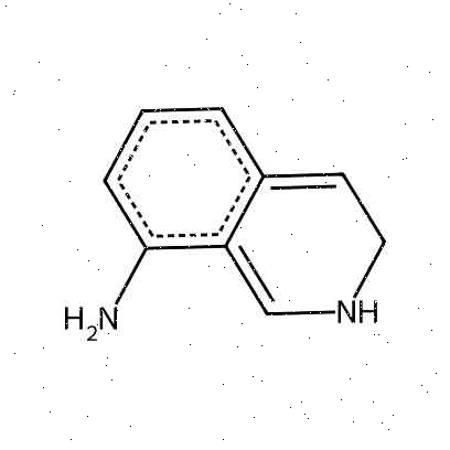 Nc1cccc2c1=CNCC=2